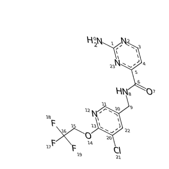 Nc1nccc(C(=O)NCc2cnc(OCC(F)(F)F)c(Cl)c2)n1